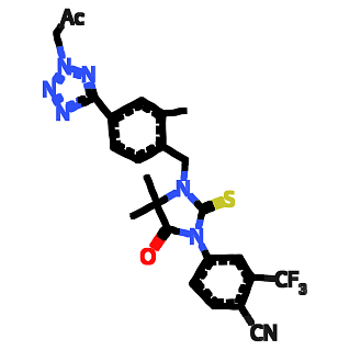 CC(=O)Cn1nnc(-c2ccc(CN3C(=S)N(c4ccc(C#N)c(C(F)(F)F)c4)C(=O)C3(C)C)c(C)c2)n1